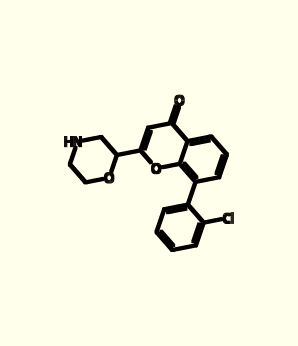 O=c1cc(C2CNCCO2)oc2c(-c3ccccc3Cl)cccc12